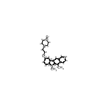 Cc1c2ccncc2cc2c3cc(OCCN4CC[S+]([O-])CC4)ccc3n(C)c12